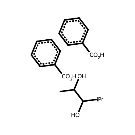 CC(C)C(O)C(C)O.O=C(O)c1ccccc1.O=C(O)c1ccccc1